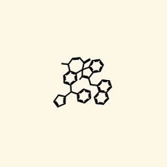 C=C1C=CC(C)c2ccc(C(C3=CC=CC3)c3ccccc3)cc2C12C(C)=C(Cc1cccc3ccccc13)c1ccccc12